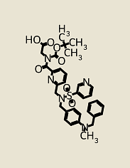 CN(Cc1ccccc1)c1ccc(CN(Cc2cccc(C(=O)N(CC(=O)O)C(=O)OC(C)(C)C)n2)S(=O)(=O)c2cccnc2)cc1